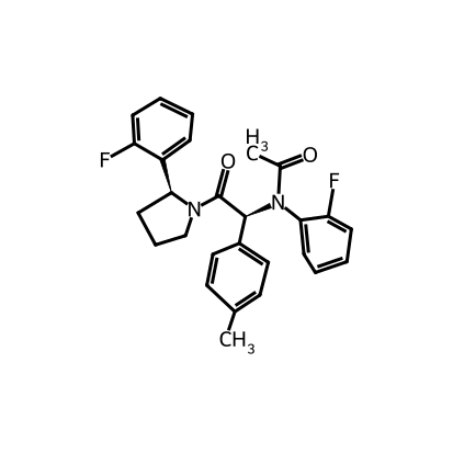 CC(=O)N(c1ccccc1F)[C@H](C(=O)N1CCC[C@H]1c1ccccc1F)c1ccc(C)cc1